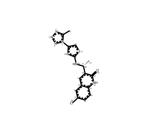 Cc1nnnn1-c1csc(N[C@H](C)c2cc3cc(Cl)ccc3[nH]c2=O)n1